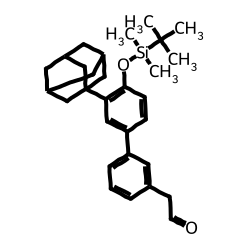 CC(C)(C)[Si](C)(C)Oc1ccc(-c2cccc(CC=O)c2)cc1C12CC3CC(CC(C3)C1)C2